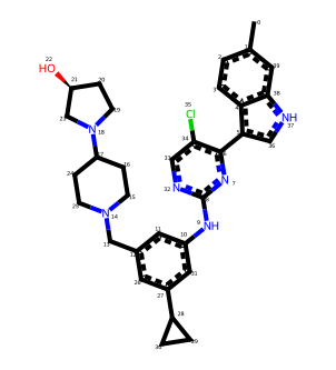 Cc1ccc2c(-c3nc(Nc4cc(CN5CCC(N6CC[C@H](O)C6)CC5)cc(C5CC5)c4)ncc3Cl)c[nH]c2c1